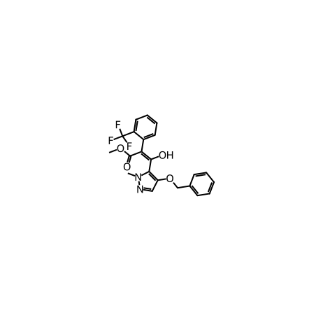 COC(=O)C(=C(O)c1c(OCc2ccccc2)cnn1C)c1ccccc1C(F)(F)F